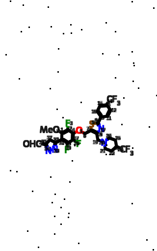 COc1c(F)c(OCc2sc(-c3ccc(C(F)(F)F)cc3)nc2CN2CCC(C(F)(F)F)CC2)c(F)c(F)c1C1=NN=C(C=O)C1